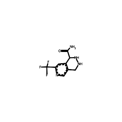 NC(=O)C1NNCc2cnc(C(F)(F)F)cc21